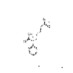 NC(=O)CCCCC(C(N)=O)c1ccccn1